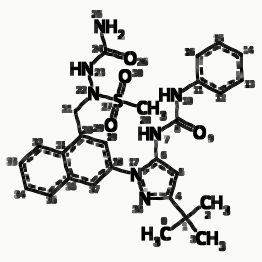 CC(C)(C)c1cc(NC(=O)Nc2ccccc2)n(-c2cc(CN(NC(N)=O)S(C)(=O)=O)c3ccccc3c2)n1